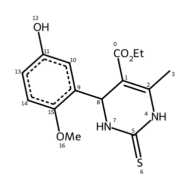 CCOC(=O)C1=C(C)NC(=S)NC1c1cc(O)ccc1OC